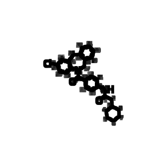 O=C(CC1CCCCC1)Nc1ccc(C(=O)N2Cc3ccccc3Cc3cc(Cl)ccc32)cc1